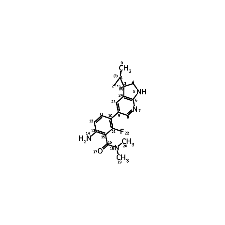 C[C@@H]1C[C@@]12CNc1ncc(-c3ccc(N)c(C(=O)N(C)C)c3F)cc12